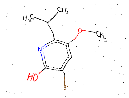 COc1cc(Br)c(O)nc1C(C)C